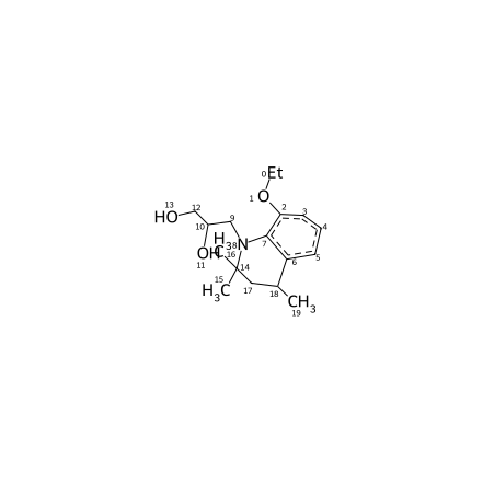 CCOc1cccc2c1N(CC(O)CO)C(C)(C)CC2C